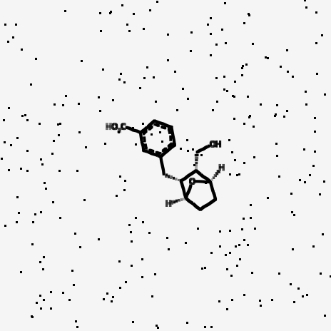 O=C(O)c1cccc(C[C@@H]2[C@H](CO)[C@H]3CC[C@@H]2O3)c1